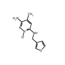 Cc1cc(NCc2ccoc2)[n+]([O-])nc1N